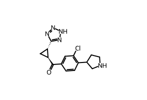 O=C(c1ccc(C2CCNC2)c(Cl)c1)[C@H]1C[C@@H]1c1nn[nH]n1